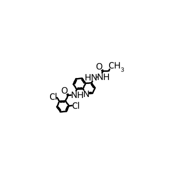 CCC(=O)NNc1ccnc2c(NC(=O)c3c(Cl)cccc3Cl)cccc12